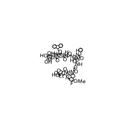 CC[C@@]1(O)C(=O)OCc2c1cc1n(c2=O)Cc2c-1nc1cc(F)c(OC)c3c1c2[C@@H](NC(=O)COCNC(=O)CNC(=O)[C@H](Cc1ccccc1)NC(=O)CNC(=O)CNC(=O)[C@H](CCC(=O)NC[C@@H]1O[C@H](CO)[C@@H](O)[C@H](O)[C@H]1O)NC(=O)OCC1c2ccccc2-c2ccccc21)CC3